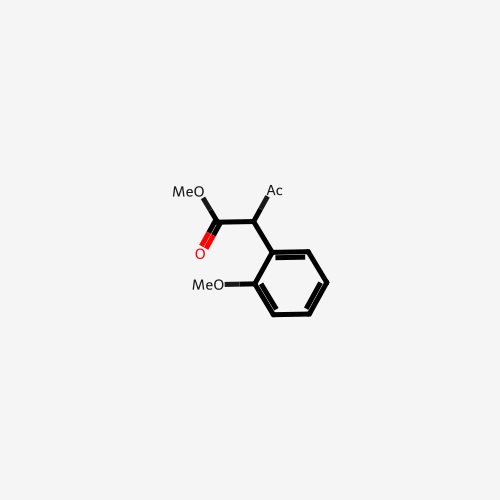 COC(=O)C(C(C)=O)c1ccccc1OC